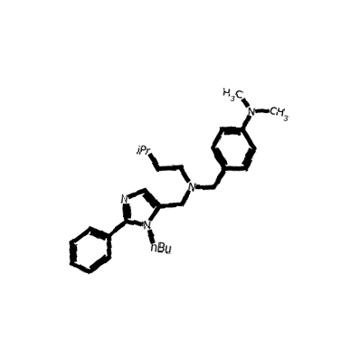 CCCCn1c(CN(CCC(C)C)Cc2ccc(N(C)C)cc2)cnc1-c1ccccc1